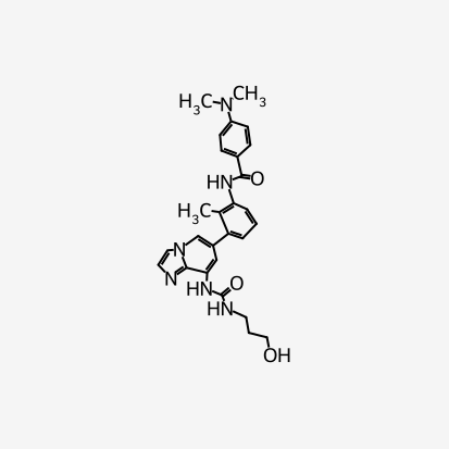 Cc1c(NC(=O)c2ccc(N(C)C)cc2)cccc1-c1cc(NC(=O)NCCCO)c2nccn2c1